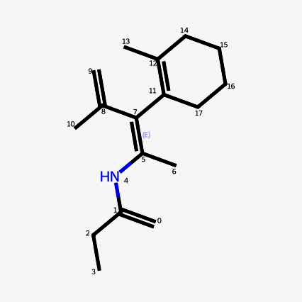 C=C(CC)N/C(C)=C(\C(=C)C)C1=C(C)CCCC1